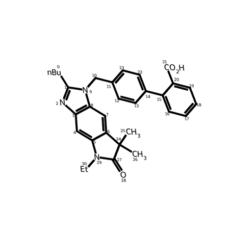 CCCCc1nc2cc3c(cc2n1Cc1ccc(-c2ccccc2C(=O)O)cc1)C(C)(C)C(=O)N3CC